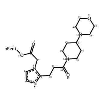 CCCCCOC(=O)Cn1ccnc1CCC(=O)N1CCC(N2CCOCC2)CC1